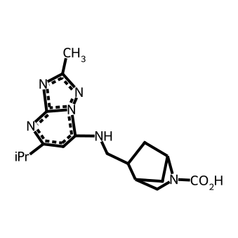 Cc1nc2nc(C(C)C)cc(NCC3CC4CC3CN4C(=O)O)n2n1